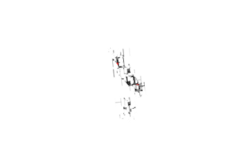 CC[C@H](C)[C@@H]([C@@H](CC(=O)N1CCCC1[C@H](OC)[C@@H](C)C(=O)NC(Cc1ccccc1)C(=O)O)OC)N(C)C(=O)C(NC(=O)[C@@H]1[C@H]2CC[C@H](C2)N1C(=O)CCCCCNC(=O)C1C[N@]1C(c1ccccc1)(c1ccccc1)c1ccccc1)C(C)C